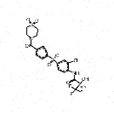 C[C@@](O)(C(=O)Nc1ccc(S(=O)(=O)c2ccc(C(=O)N3CCS(=O)(=O)CC3)cc2)cc1Cl)C(F)(F)F